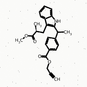 C#CCOC(=O)c1ccc(C(C)c2[nH]c3ccccc3c2C[C@H](C)C(=O)OC)cc1